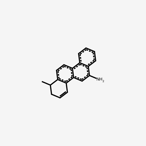 CC1CC=Cc2c1ccc1c2cc(N)c2ccccc21